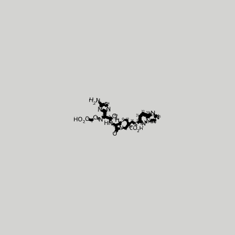 Nc1nc(C(=NOCC(=O)O)C(=O)NC2C(=O)N3CC(CSc4ccc5nnnn5n4)(C(=O)O)CS[C@H]23)ns1